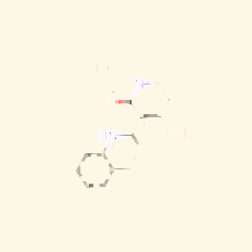 O=C(O)N1CCC(O)=C(C(=S)Nc2ccccc2Cl)C1=O